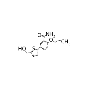 CCCOc1ccc(-c2ccc(CO)s2)cc1C(N)=O